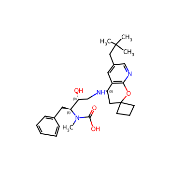 CN(C(=O)O)[C@@H](Cc1ccccc1)[C@H](O)CN[C@H]1CC2(CCC2)Oc2ncc(CC(C)(C)C)cc21